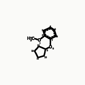 COc1ccc[c]c1OC1CCCC1